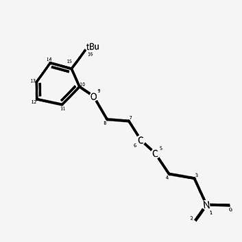 CN(C)CCCCCCOc1ccccc1C(C)(C)C